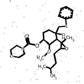 COC1C(OC(=O)N2CCOCC2)CCC(O)(CSc2ccccc2)C1C1(C)OC1CCC(C)C